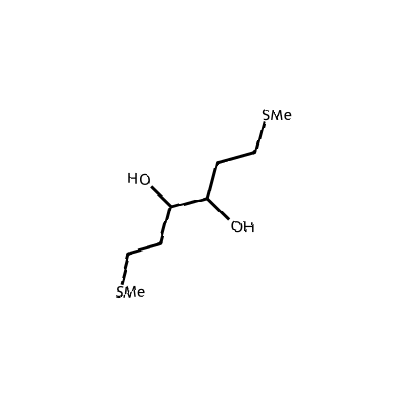 CSCCC(O)C(O)CCSC